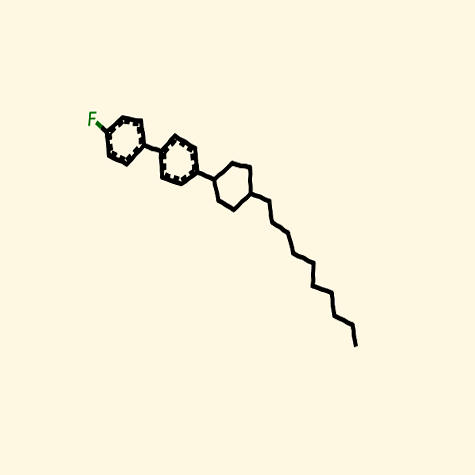 CCCCCCCCCCC1CCC(c2ccc(-c3ccc(F)cc3)cc2)CC1